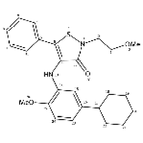 COCCn1sc(-c2ccccc2)c(Nc2cc(C3CCCCC3)ccc2OC)c1=O